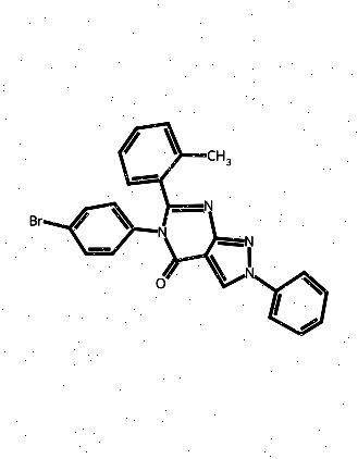 Cc1ccccc1-c1nc2nn(-c3ccccc3)cc2c(=O)n1-c1ccc(Br)cc1